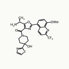 COc1ccc(-c2nc(C(=O)N3CCC(O)(c4nccs4)CC3)c([C@H](C)N)o2)c2ccc(C(F)(F)F)nc12